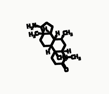 C[C@H]1C[C@H]2N(C)C(=O)CC[C@]2(C)[C@H]2CC[C@]3(C)[C@@H](N)CC[C@H]3[C@H]12